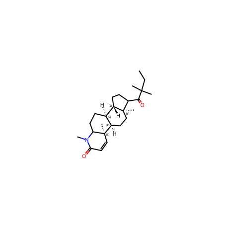 CCC(C)(C)C(=O)C1CC[C@H]2[C@@H]3CCC4N(C)C(=O)C=C[C@]4(C)[C@@H]3CC[C@]12C